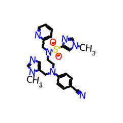 Cn1cnc(S(=O)(=O)N(CCN(Cc2cncn2C)c2ccc(C#N)cc2)Cc2ccccn2)c1